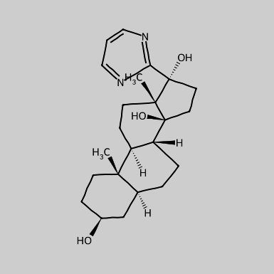 C[C@]12CC[C@H](O)C[C@@H]1CC[C@@H]1[C@@H]2CC[C@]2(C)[C@@](O)(c3ncccn3)CC[C@]12O